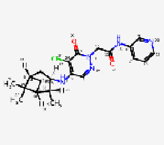 C[C@@H]1[C@H]2C[C@@H](C[C@H]1Nc1cnn(CC(=O)Nc3cccnc3)c(=O)c1Cl)C2(C)C